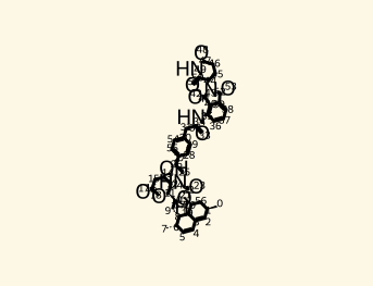 C[C@H]1C=C2C=C[C@H](C)[C@H](CC[C@@H]3C[C@@H](O)CC(=O)O3)[C@H]2[C@@H](OC(=O)NCCc2ccc(CC(=O)Nc3cccc4c3C(=O)N(C3CCC(=O)NC3=O)C4=O)cc2)C1